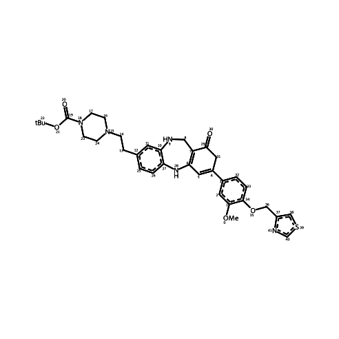 COc1cc(C2=CC3=C(CNc4cc(CCN5CCN(C(=O)OC(C)(C)C)CC5)ccc4N3)C(=O)C2)ccc1OCc1cscn1